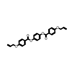 C=CCOc1ccc(C(=O)Oc2ccc(OC(=O)c3ccc(OCC=C)cc3)cc2)cc1